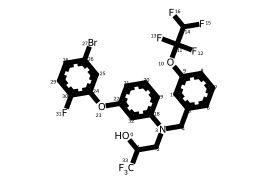 OC(CN(Cc1cccc(OC(F)(F)C(F)F)c1)c1cccc(Oc2cc(Br)ccc2F)c1)C(F)(F)F